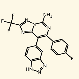 Nc1nc(-c2ccc(F)cc2)c(-c2ccc3[nH]nnc3c2)c2nc(C(F)(F)F)nn12